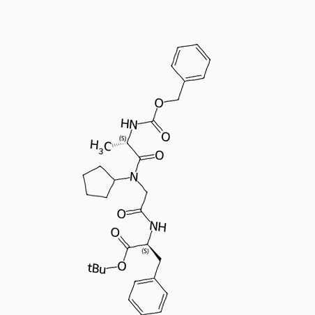 C[C@H](NC(=O)OCc1ccccc1)C(=O)N(CC(=O)N[C@@H](Cc1ccccc1)C(=O)OC(C)(C)C)C1CCCC1